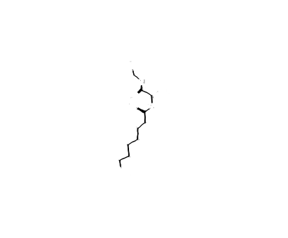 CCCCCCCC(=O)N[C@@H](C)C(=O)NCC